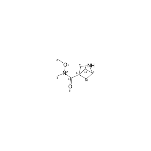 CON(C)C(=O)C12CNC(C1)C2